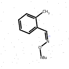 CCCCO/N=[C]\c1ccccc1C